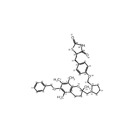 Cc1c(C)c2c(c(C)c1OCc1ccccc1)CCC(C)(CN1CCC[C@@H]1COc1ccc(CC3SC(=O)NC3=O)cc1)O2